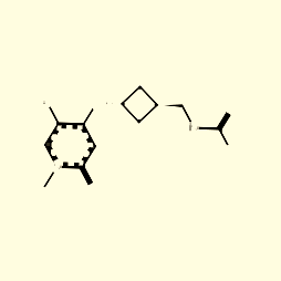 Cn1cc(Br)c(O[C@H]2C[C@H](CNC(=O)O)C2)cc1=O